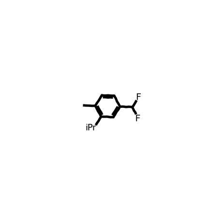 Cc1ccc(C(F)F)cc1C(C)C